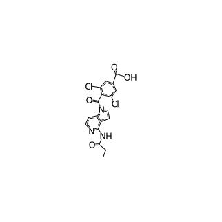 CCC(=O)Nc1nccc2c1ccn2C(=O)c1c(Cl)cc(C(=O)O)cc1Cl